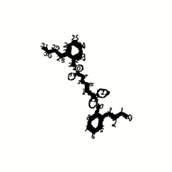 CCCCc1ccccc1COC(=O)CCCCC(=O)OCc1ccccc1CCCC